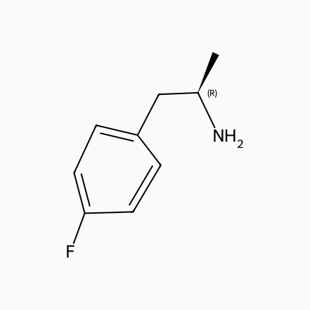 C[C@@H](N)Cc1ccc(F)cc1